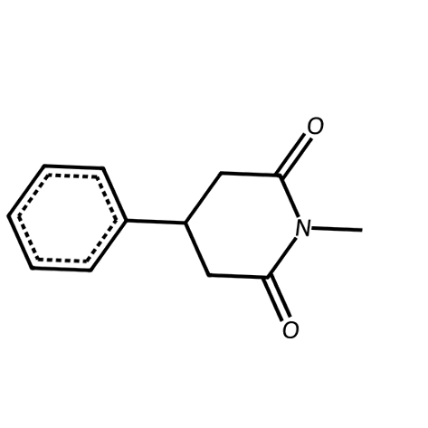 CN1C(=O)CC(c2ccccc2)CC1=O